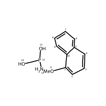 COc1cccc2ccccc12.NP(O)O